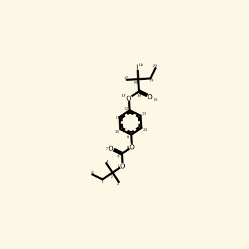 CCC(C)(C)OC(=O)Oc1ccc(OC(=O)C(C)(I)CC)cc1